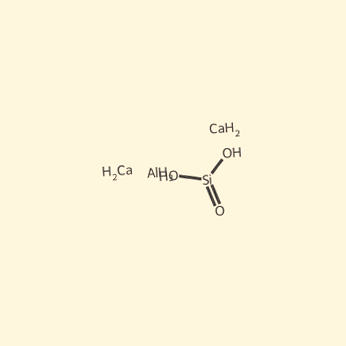 O=[Si](O)O.[AlH3].[CaH2].[CaH2]